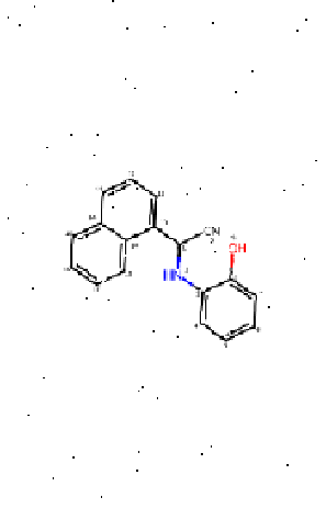 N#CC(Nc1ccccc1O)c1cccc2ccccc12